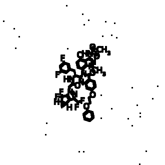 Cn1nc(NS(C)(=O)=O)c2c(Cl)ccc(-n3c([C@H](Cc4cc(F)cc(F)c4)NC(=O)Cn4nc(C(F)F)c5c4C(F)(F)[C@@H]4C[C@H]54)nc4cc(OCCOc5ccccc5)ccc4c3=O)c21